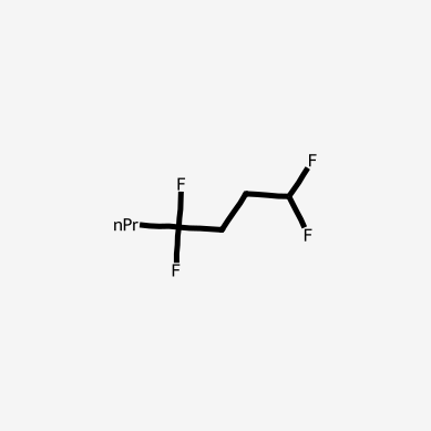 [CH2]CCC(F)(F)CCC(F)F